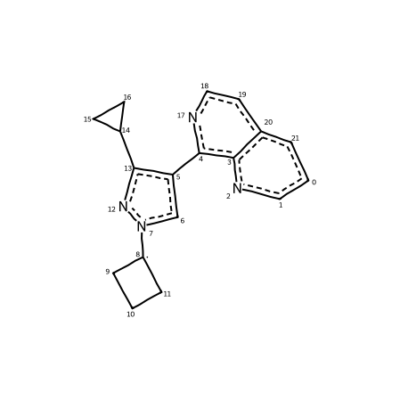 c1cnc2c(-c3cn([C]4CCC4)nc3C3CC3)nccc2c1